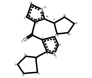 O=C(c1ccsc1C1CCCC1)c1ccsc1C1CCCC1